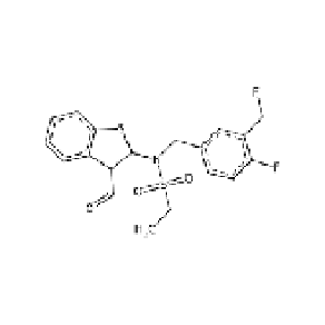 CCS(=O)(=O)N(Cc1ccc(F)c(CF)c1)C1Sc2ccccc2C1C=O